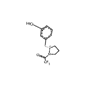 O=C(N1CCC[C@H]1Cc1cccc(O)c1)C(F)(F)F